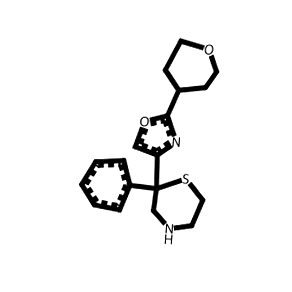 c1ccc(C2(c3coc(C4CCOCC4)n3)CNCCS2)cc1